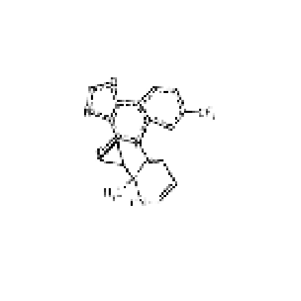 CC1(C2CC2)NC=CC=C1n1c(=O)c2ncoc2c2ccc(C(F)(F)F)cc21